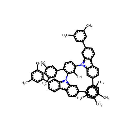 Cc1cc(C)cc(-c2ccc3c4ccc(-c5cc(C)cc(C)c5)cc4n(-c4ccc(-c5cc(C#N)cc(C(F)(F)F)c5)c(-n5c6cc(-c7cc(C)cc(C)c7)ccc6c6ccc(-c7cc(C)cc(C)c7)cc65)c4C#N)c3c2)c1